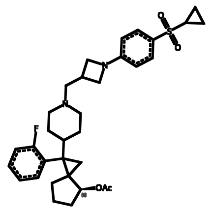 CC(=O)O[C@H]1CCCC12CC2(c1ccccc1F)C1CCN(CC2CN(c3ccc(S(=O)(=O)C4CC4)cc3)C2)CC1